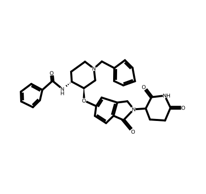 O=C1CCC(N2Cc3cc(O[C@@H]4CN(Cc5ccccc5)CC[C@H]4NC(=O)c4ccccc4)ccc3C2=O)C(=O)N1